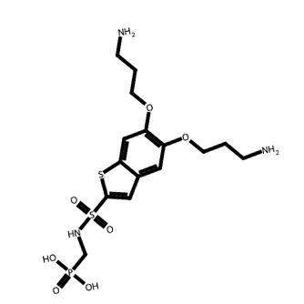 NCCCOc1cc2cc(S(=O)(=O)NCP(=O)(O)O)sc2cc1OCCCN